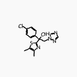 Cc1nc(C(O)(Cn2cncn2)c2ccc(Cl)cc2)sc1C